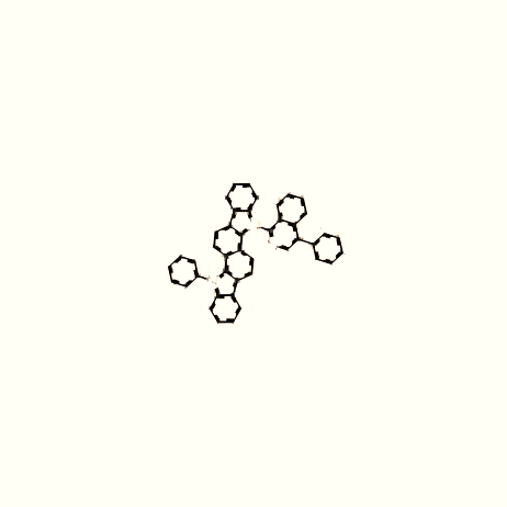 c1ccc(-c2cnc(-n3c4ccccc4c4ccc5c(ccc6c7ccccc7n(-c7ccccc7)c65)c43)c3ccccc23)cc1